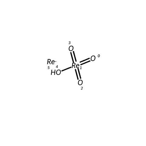 [O]=[Re](=[O])(=[O])[OH].[Re]